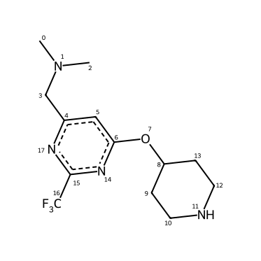 CN(C)Cc1cc(OC2CCNCC2)nc(C(F)(F)F)n1